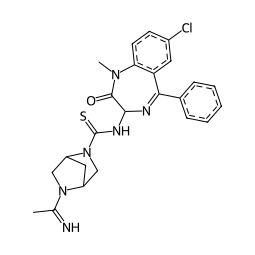 CC(=N)N1CC2CC1CN2C(=S)NC1N=C(c2ccccc2)c2cc(Cl)ccc2N(C)C1=O